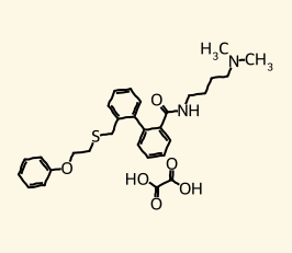 CN(C)CCCCNC(=O)c1ccccc1-c1ccccc1CSCCOc1ccccc1.O=C(O)C(=O)O